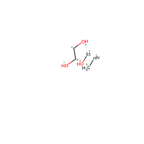 CCCC.CCO.OCCO